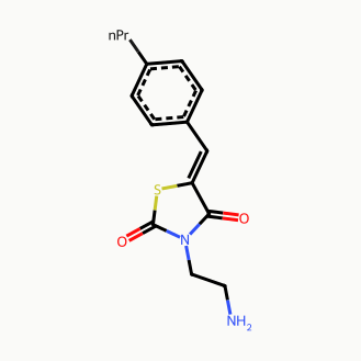 CCCc1ccc(/C=C2\SC(=O)N(CCN)C2=O)cc1